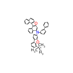 CC(C)(C)c1cccc2c1oc1cc(N(c3cccc(-c4ccccc4)c3)c3cc4oc5ccc6ccccc6c5c4c4ccccc34)ccc12